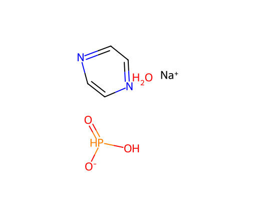 O.O=[PH]([O-])O.[Na+].c1cnccn1